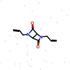 C=CCN1C(=O)C2C1C(=O)N2CC=C